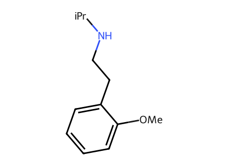 COc1ccccc1CCNC(C)C